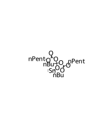 CCCCCOC(=O)OC(CCCC)([O][Sn][CH2]CCC)OC(=O)OCCCCC